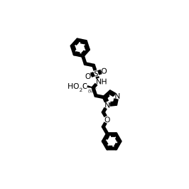 O=C(O)[C@H](Cc1cncn1COCc1ccccc1)NS(=O)(=O)CCc1ccccc1